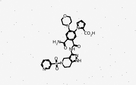 NC(=O)c1cc(N2CCOCC2)c(-n2cccc2C(=O)O)cc1C(=O)Nc1n[nH]c2c1CN(S(=O)(=O)c1cccnc1)CC2